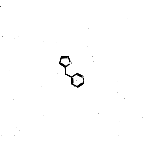 [c]1ncccc1Cc1ccco1